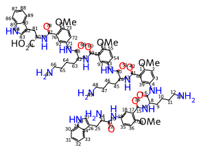 COc1ccc(NC(=O)C(CCCCN)NC(=O)c2cc(NC(=O)[C@@H](N)Cc3c[nH]c4ccccc34)ccc2OC)cc1C(=O)NC(CCCCN)C(=O)Nc1ccc(OC)c(C(=O)NC(CCCCN)C(=O)Nc2ccc(OC)c(C(=O)N[C@@H](Cc3c[nH]c4ccccc34)C(=O)O)c2)c1